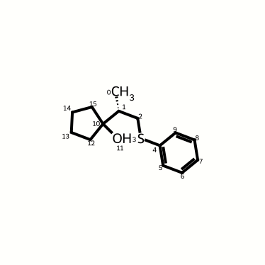 C[C@H](CSc1ccccc1)C1(O)CCCC1